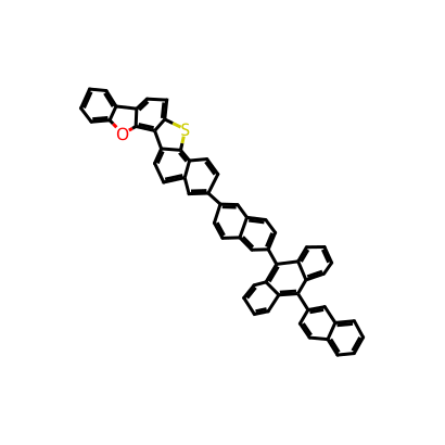 c1ccc2cc(-c3c4ccccc4c(-c4ccc5cc(-c6ccc7c(ccc8c7sc7ccc9c%10ccccc%10oc9c78)c6)ccc5c4)c4ccccc34)ccc2c1